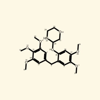 COc1cc(Cc2cc(OC)c(OC)c(OC)c2)c(OC2COCCN2)cc1OC